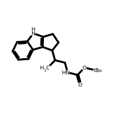 CC(CNC(=O)OC(C)(C)C)C1CCc2[nH]c3ccccc3c21